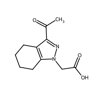 CC(=O)c1nn(CC(=O)O)c2c1CCCC2